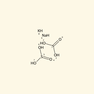 O=C(O)O.O=S(O)O.[KH].[NaH]